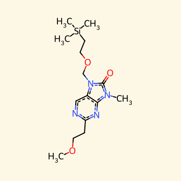 COCCc1ncc2c(n1)n(C)c(=O)n2COCC[Si](C)(C)C